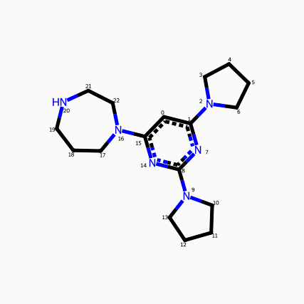 c1c(N2CCCC2)nc(N2CCCC2)nc1N1CCCNCC1